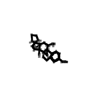 COc1ccc2c(c1)CC[C@@]13O[C@@]21[C@H](O)C[C@@]1(C)[C@H]3CCC12OCCO2